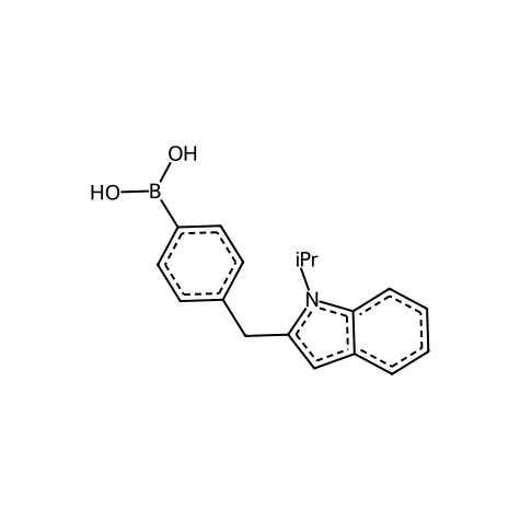 CC(C)n1c(Cc2ccc(B(O)O)cc2)cc2ccccc21